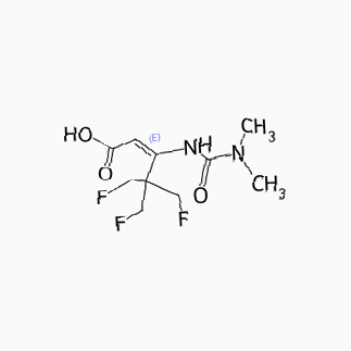 CN(C)C(=O)N/C(=C/C(=O)O)C(CF)(CF)CF